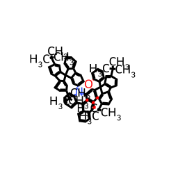 CC(C)(C)c1ccc2c(c1)C1(c3ccccc3-c3ccc(N(c4ccccc4-c4cccc5ccccc45)c4cccc5c4Oc4ccccc4C54c5cc(C(C)(C)C)ccc5-c5ccc(C(C)(C)C)cc54)cc31)c1cc(C(C)(C)C)ccc1-2